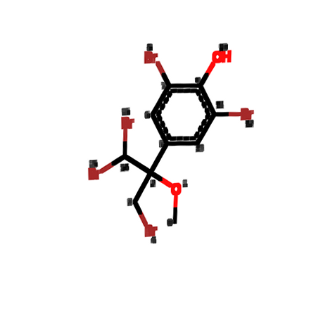 COC(CBr)(c1cc(Br)c(O)c(Br)c1)C(Br)Br